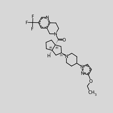 CCOc1ccn(C2CCN([C@H]3C[C@H]4CCC[C@@]4(C(=O)N4CCc5ncc(C(F)(F)F)cc5C4)C3)CC2)n1